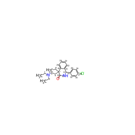 CCN(CC)CCC1(CC)C(=O)NC(c2ccc(Cl)cc2)c2ccccc21